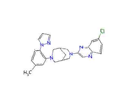 Cc1c[c]c(-n2cccn2)c(N2CC3CC(CN(c4cnc5ccc(Cl)cc5n4)C3)C2)c1